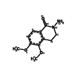 COc1ccc2c(c1OC)CCN(N)C2=O